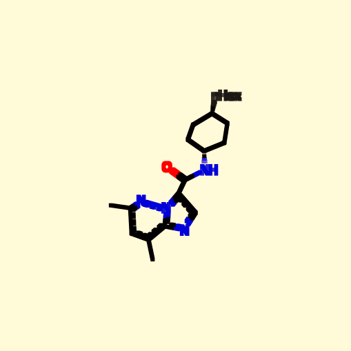 CCCCCC[C@H]1CC[C@H](NC(=O)c2cnc3c(C)cc(C)nn23)CC1